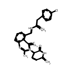 C=C(Cc1ccc(Cl)cc1)NCc1cccc2c1C(=C)N(C1CCC(=C)NC1=O)C(C)=N2